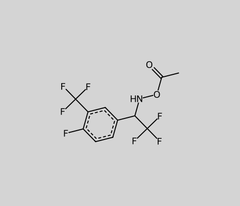 CC(=O)ONC(c1ccc(F)c(C(F)(F)F)c1)C(F)(F)F